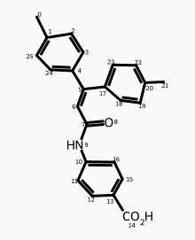 Cc1ccc(C(=CC(=O)Nc2ccc(C(=O)O)cc2)c2ccc(C)cc2)cc1